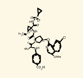 C=C[C@@H]1C[C@]1(NC(=O)[C@@H]1C[C@@H](Oc2ncc(OC)c3ccc(Cl)cc23)CN1C(=O)C(Nc1ccc(C(=O)O)cc1)C(C)(C)C)C(=O)NS(=O)(=O)C1CC1